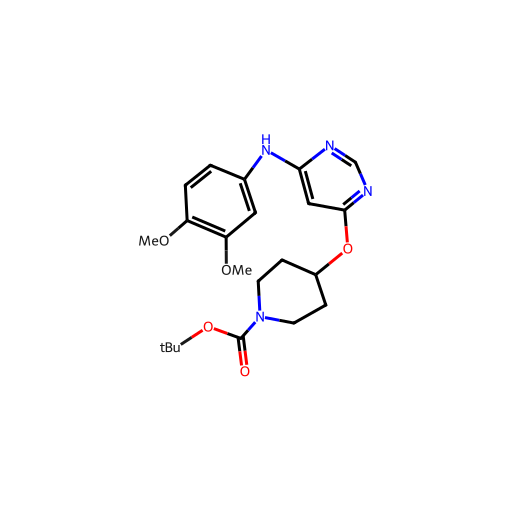 COc1ccc(Nc2cc(OC3CCN(C(=O)OC(C)(C)C)CC3)ncn2)cc1OC